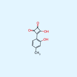 Cc1ccc(-c2c(O)c(=O)c2=O)c(O)c1